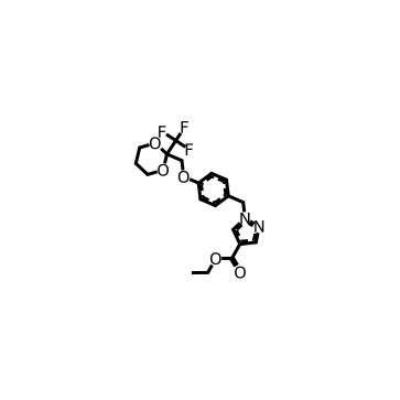 CCOC(=O)c1cnn(Cc2ccc(OCC3(C(F)(F)F)OCCCO3)cc2)c1